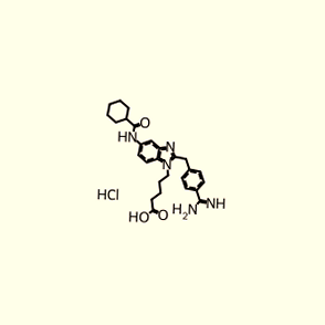 Cl.N=C(N)c1ccc(Cc2nc3cc(NC(=O)C4CCCCC4)ccc3n2CCCCC(=O)O)cc1